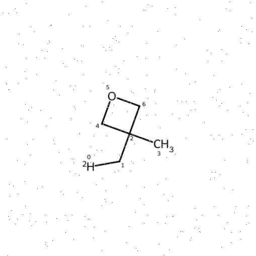 [2H]CC1(C)COC1